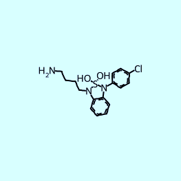 NCCCCN1c2ccccc2N(c2ccc(Cl)cc2)S1(O)O